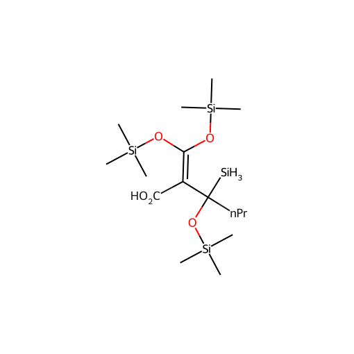 CCCC([SiH3])(O[Si](C)(C)C)C(C(=O)O)=C(O[Si](C)(C)C)O[Si](C)(C)C